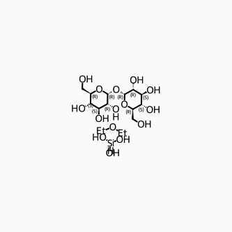 CCOCC.OC[C@H]1O[C@H](O[C@H]2O[C@H](CO)[C@@H](O)[C@H](O)[C@H]2O)[C@H](O)[C@@H](O)[C@@H]1O.O[SiH](O)O